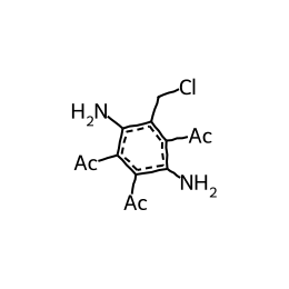 CC(=O)c1c(N)c(C(C)=O)c(C(C)=O)c(N)c1CCl